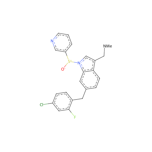 CNCc1cn([S+]([O-])c2cccnc2)c2cc(Cc3ccc(Cl)cc3F)ccc12